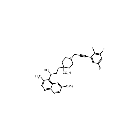 COc1ccc2ncc(C)c([C@H](O)CCC3(C(=O)O)CCN(CC#Cc4cc(F)cc(F)c4F)CC3)c2c1